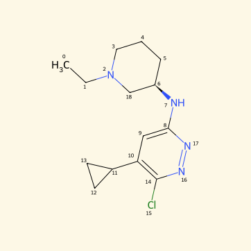 CCN1CCC[C@@H](Nc2cc(C3CC3)c(Cl)nn2)C1